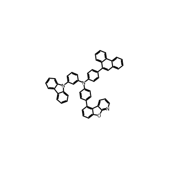 c1cc(N(c2ccc(-c3cc4ccccc4c4ccccc34)cc2)c2ccc(-c3cccc4oc5ncccc5c34)cc2)cc(-n2c3ccccc3c3ccccc32)c1